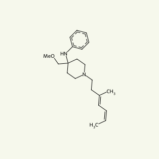 C/C=C\C=C(/C)CCN1CCC(COC)(Nc2ccccc2)CC1